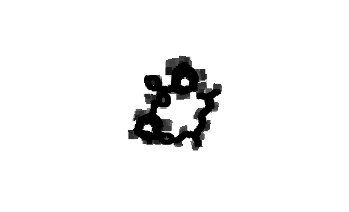 CC(C)=CCCC(C)CCO.O=C(OCc1ccccc1)c1ccccc1